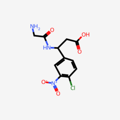 NCC(=O)NC(CC(=O)O)c1ccc(Cl)c([N+](=O)[O-])c1